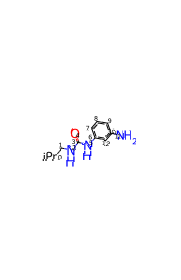 CC(C)CNC(=O)Nc1cccc(N)c1